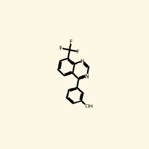 Oc1cccc(-c2ncnc3c(C(F)(F)F)cccc23)c1